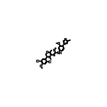 C=N/C(=N\C1=C(C)OCC(c2cc(Cl)c(OC)cc2Cl)N1C)Nc1ccc(-n2cnc(C)c2)c(OC)c1